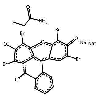 NC(=O)CI.O=C([O-])c1ccccc1-c1c2cc(Br)c(=O)c(Br)c-2oc2c(Br)c([O-])c(Br)cc12.[Na+].[Na+]